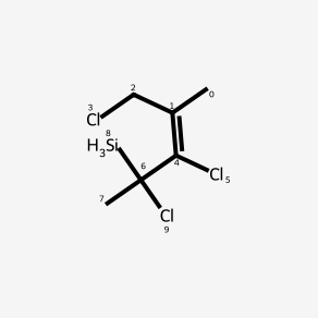 CC(CCl)=C(Cl)C(C)([SiH3])Cl